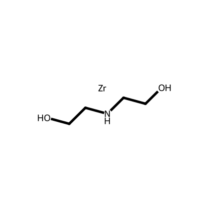 OCCNCCO.[Zr]